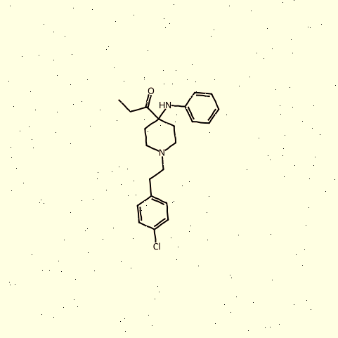 CCC(=O)C1(Nc2ccccc2)CCN(CCc2ccc(Cl)cc2)CC1